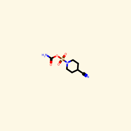 N#CC1CCN(S(=O)(=O)OC(N)=O)CC1